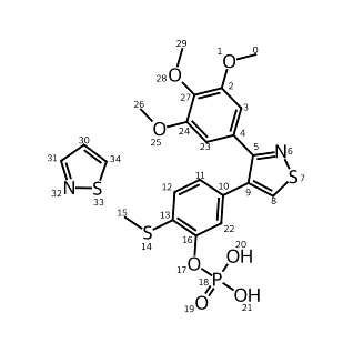 COc1cc(-c2nscc2-c2ccc(SC)c(OP(=O)(O)O)c2)cc(OC)c1OC.c1cnsc1